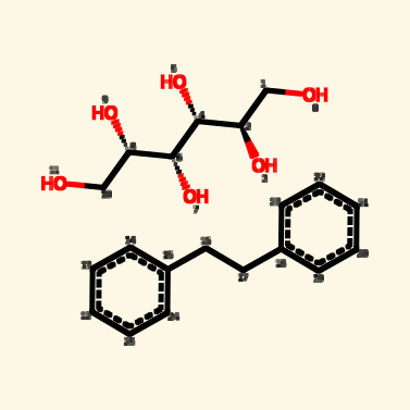 OC[C@@H](O)[C@@H](O)[C@H](O)[C@@H](O)CO.c1ccc(CCc2ccccc2)cc1